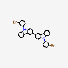 Brc1cccc(-n2c3ccccc3c3cc(-c4ccc5c(c4)c4ccccc4n5-c4cccc(Br)c4)ccc32)c1